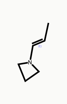 C/C=C/N1CCC1